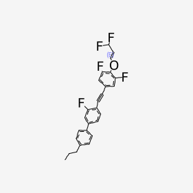 CCCc1ccc(-c2ccc(C#Cc3cc(F)c(O/C=C/C(F)F)c(F)c3)c(F)c2)cc1